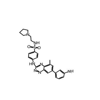 CNc1cccc(-c2cc(C)c3nc(Nc4ccc(S(=O)(=O)NCCN5CCCC5)cc4)nnc3c2)c1